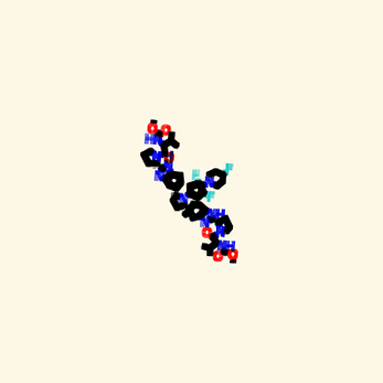 COC(=O)NC(C(=O)N1CCC[C@H]1c1nc2c([nH]1)C=CC(C)([C@H]1CC[C@H](c3ccc4[nH]c([C@@H]5CCCN5C(=O)C(NC(=O)OC)C(C)C)nc4c3)N1c1cc(F)c(N3CCC(F)CC3)c(F)c1)C2)C(C)C